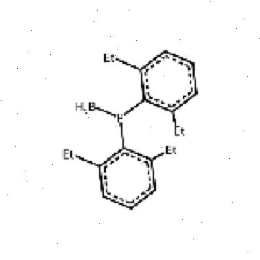 BP(c1c(CC)cccc1CC)c1c(CC)cccc1CC